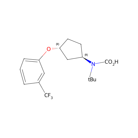 CC(C)(C)N(C(=O)O)[C@@H]1CC[C@@H](Oc2cccc(C(F)(F)F)c2)C1